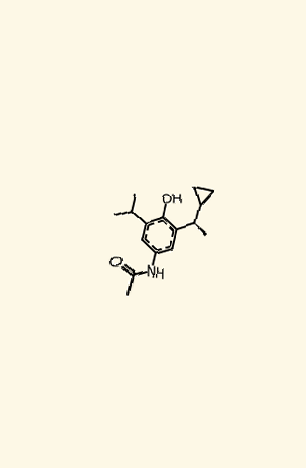 CC(=O)Nc1cc(C(C)C)c(O)c([C@H](C)C2CC2)c1